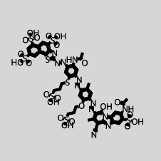 CC(=O)Nc1cc(N=Nc2cc(OCCCS(=O)(=O)O)c(N=Nc3c(C)c(C#N)c4nc5cc(S(=O)(=O)O)c(NC(C)=O)cc5n4c3O)cc2C)c(SCCCS(=O)(=O)O)cc1N=Nc1nc2c(S(=O)(=O)O)cc3c(S(=O)(=O)O)cc(S(=O)(=O)O)cc3c2s1